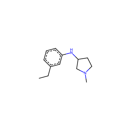 CCc1cccc(NC2CCN(C)C2)c1